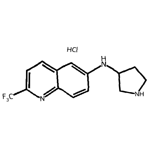 Cl.FC(F)(F)c1ccc2cc(NC3CCNC3)ccc2n1